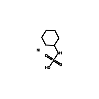 O=S(=O)(O)NC1CCCCC1.[Ni]